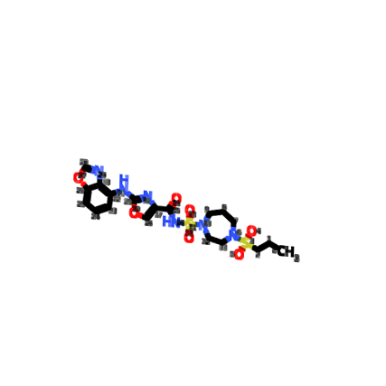 CCCS(=O)(=O)N1CCCN(S(=O)(=O)NC(=O)c2coc(Nc3cccc4ocnc34)n2)CC1